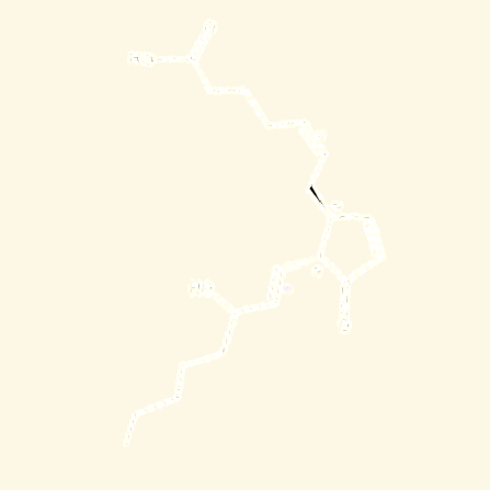 CCCCCC(O)/C=C/[C@H]1C(=O)C=C[C@@H]1C/C=C\CCCC(=O)O